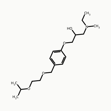 CCN(C)CC(O)COc1ccc(COCCOC(C)C)cc1